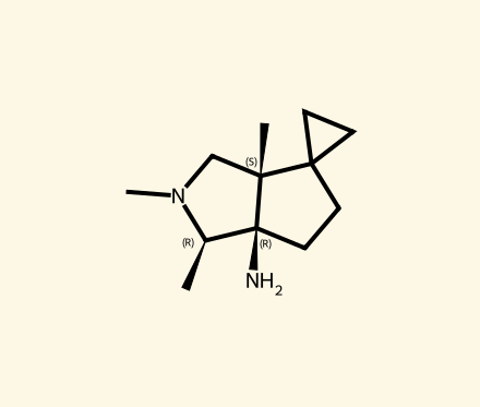 C[C@H]1N(C)C[C@]2(C)C3(CC3)CC[C@]12N